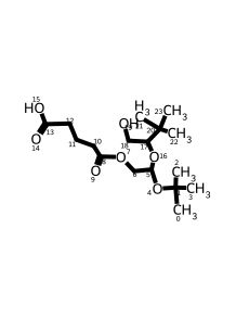 CC(C)(C)OC(COC(=O)CCCC(=O)O)OC(CO)C(C)(C)C